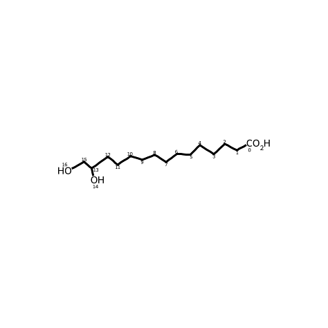 O=C(O)CCCCCCCCCCCCC(O)CO